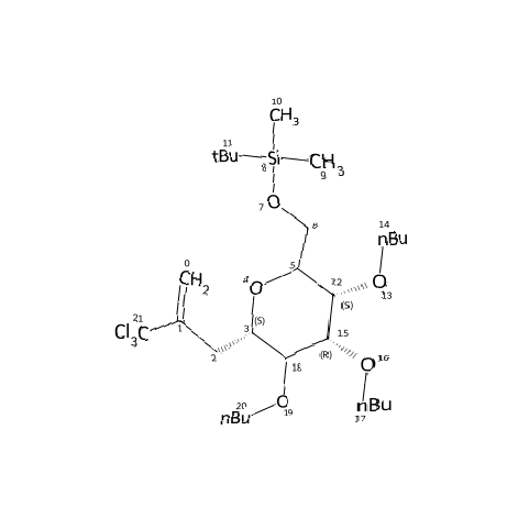 C=C(C[C@@H]1OC(CO[Si](C)(C)C(C)(C)C)[C@H](OCCCC)[C@H](OCCCC)C1OCCCC)C(Cl)(Cl)Cl